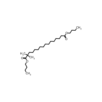 CCCCOC(=O)CCCCCCCCCCCCCC(C)(C)C(=O)OCCCC